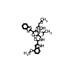 COCC(O)C[C@H](NC(=O)[C@H](CC(C)C)NC(=O)c1cc2c(OC)cccc2[nH]1)C(=O)c1nc2ccccc2s1